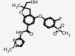 Cn1ccc(NC(=O)c2cc(Oc3ccc(S(C)(=O)=O)c(F)c3)c3c(c2)OC(C)(CO)C3)n1